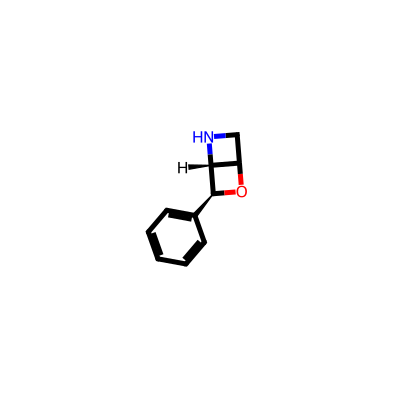 c1ccc([C@@H]2OC3CN[C@H]32)cc1